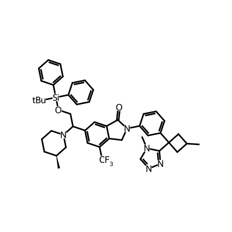 CC1CC(c2cccc(N3Cc4c(cc(C(CO[Si](c5ccccc5)(c5ccccc5)C(C)(C)C)N5CCC[C@H](C)C5)cc4C(F)(F)F)C3=O)c2)(c2nncn2C)C1